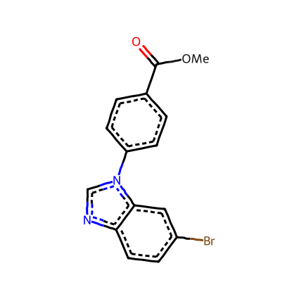 COC(=O)c1ccc(-n2cnc3ccc(Br)cc32)cc1